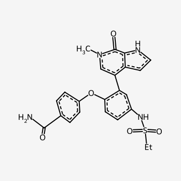 CCS(=O)(=O)Nc1ccc(Oc2ccc(C(N)=O)cc2)c(-c2cn(C)c(=O)c3[nH]ccc23)c1